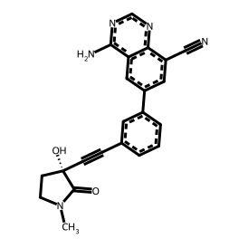 CN1CC[C@@](O)(C#Cc2cccc(-c3cc(C#N)c4ncnc(N)c4c3)c2)C1=O